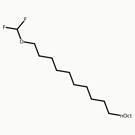 CCCCCCCCCCCCCCCCCCOC(F)F